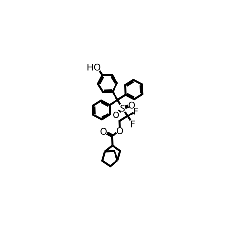 O=C(OCC(F)(F)S(=O)(=O)C(c1ccccc1)(c1ccccc1)c1ccc(O)cc1)C1CC2CCC1C2